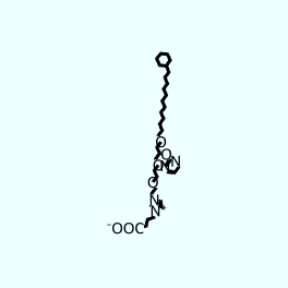 O=C([O-])CCC=[N+]1C=CN(CCOCCOCC(COCCCCCCCCCCCCC2CCCCC2)Oc2ncccn2)C1